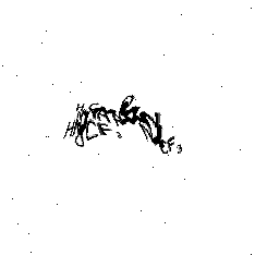 C[C@@H](CCCn1ncc2cc(-c3ncc(C(F)(F)F)cn3)ccc2c1=O)Nc1cn[nH]c(=O)c1C(F)(F)F